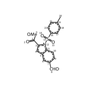 COC(=O)c1cc2cc([C]=O)ccc2n1S(=O)(=O)c1ccc(C)cc1